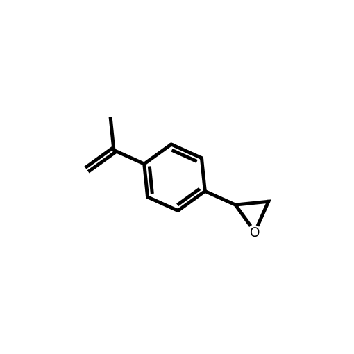 C=C(C)c1ccc(C2CO2)cc1